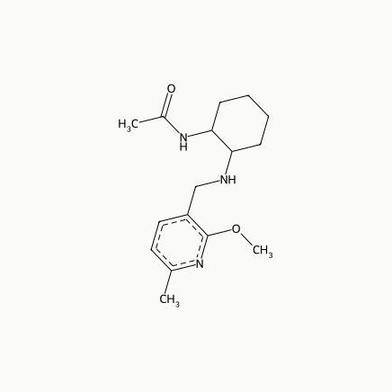 COc1nc(C)ccc1CNC1CCCCC1NC(C)=O